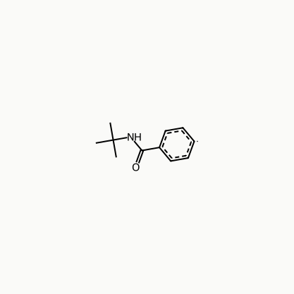 CC(C)(C)NC(=O)c1cc[c]cc1